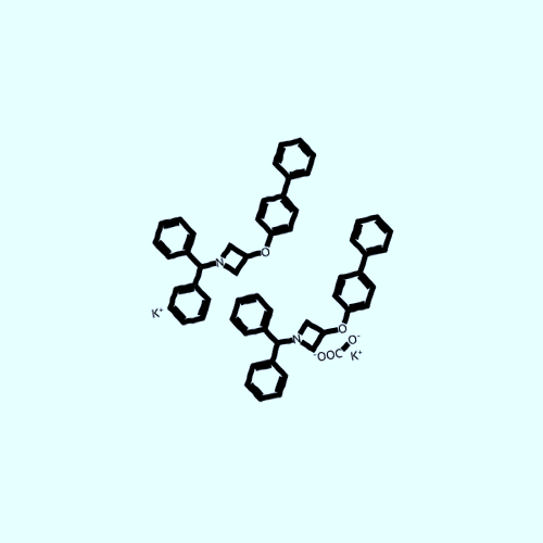 O=C([O-])[O-].[K+].[K+].c1ccc(-c2ccc(OC3CN(C(c4ccccc4)c4ccccc4)C3)cc2)cc1.c1ccc(-c2ccc(OC3CN(C(c4ccccc4)c4ccccc4)C3)cc2)cc1